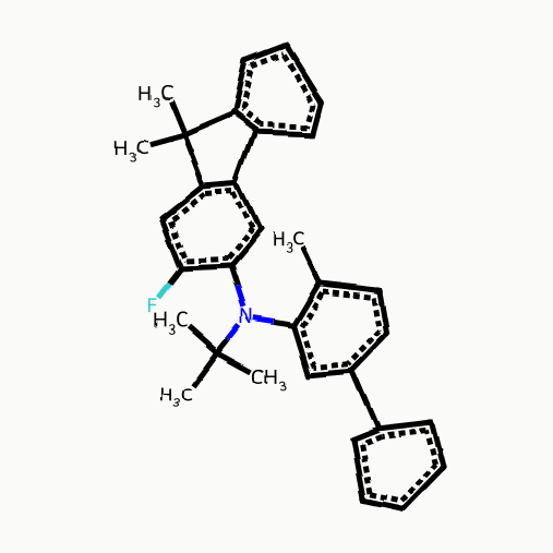 Cc1ccc(-c2ccccc2)cc1N(c1cc2c(cc1F)C(C)(C)c1ccccc1-2)C(C)(C)C